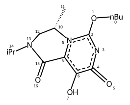 CCCCOc1nc(=O)c(O)c2n1[C@@H](C)CN(C(C)C)C2=O